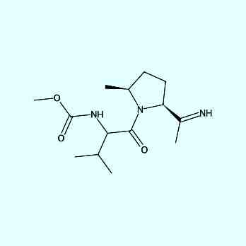 COC(=O)NC(C(=O)N1[C@@H](C)CC[C@H]1C(C)=N)C(C)C